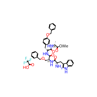 COC(=O)[C@@H](C)NC(=O)[C@@H](Cc1ccc(OCc2ccccc2)cc1)NC(=O)[C@H](COCc1ccccc1)NC(=O)[C@@H](N)Cc1c[nH]c2ccccc12.O=C(O)C(F)(F)F